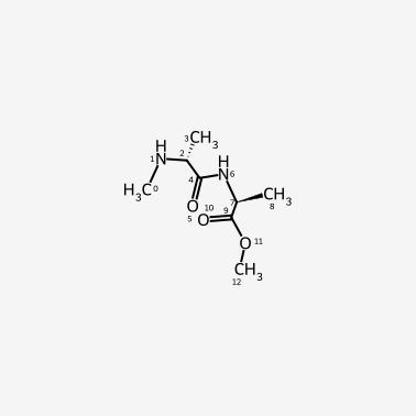 CN[C@H](C)C(=O)N[C@@H](C)C(=O)OC